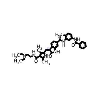 CCN(CC)CCNC(=O)c1c(C)[nH]c(/C=C2\C(=O)Nc3cc(C(=O)Nc4cc(NC(=O)c5ccccc5)ccc4C)ccc32)c1C